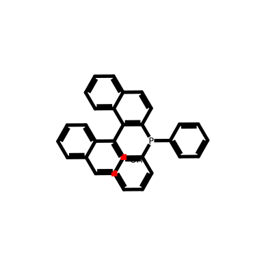 Oc1ccc2ccccc2c1-c1c(P(c2ccccc2)c2ccccc2)ccc2ccccc12